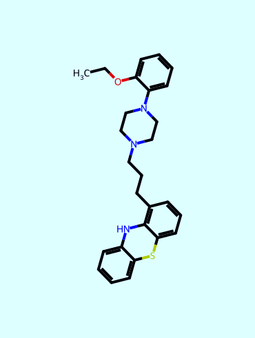 CCOc1ccccc1N1CCN(CCCc2cccc3c2Nc2ccccc2S3)CC1